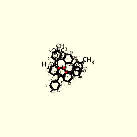 Cc1ccc(-c2cccc3c4cccc(-c5ccc(C)cc5)c4n(-c4cccc(C=O)c4C(=O)N(C)c4cc(-c5ccccc5)cc(-c5ccccc5)c4)c23)cc1